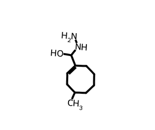 CC1C/C=C(/C(O)NN)CCCC1